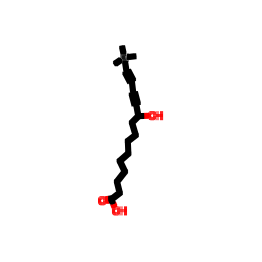 C[Si](C)(C)C#CC#CC(O)CCCCCCCCC(=O)O